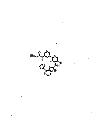 CC(C)(C)CC(=O)Nc1cncc(-c2ncc3[nH]nc(-c4nc5c(-c6cccs6)nccc5[nH]4)c3c2F)c1